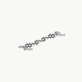 CCCCCN(CCCC)c1ccc2cc(/C=C/c3cc[n+](CC[n+]4ccc(/C=C/c5ccc6cc(N(CCCC)CCCCC)ccc6c5)cc4)cc3)ccc2c1